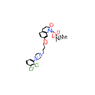 CNC(=O)OCn1c(=O)ccc2ccc(OCCCCN3CCN(c4cccc(Cl)c4Cl)CC3)cc21